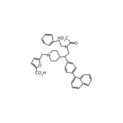 O=C(O)C(=O)N(CCc1ccccc1)CC(c1ccc(-c2cccc3ccccc23)cc1)C1CCN(Cc2ccc(C(=O)O)o2)CC1